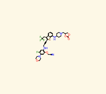 N#CCOc1cc(N2CCOCC2)c(F)cc1NCC#Cc1sc2c(NC3CCN(CC4COC(=O)O4)CC3)cccc2c1CC(F)(F)F